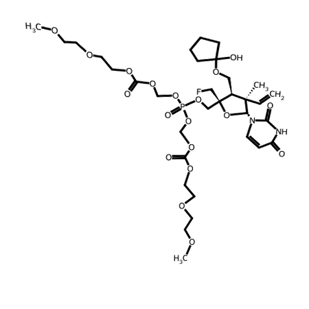 C=C[C@]1(C)[C@H](COC2(O)CCCC2)[C@@](CF)(COP(=O)(OCOC(=O)OCCOCCOC)OCOC(=O)OCCOCCOC)O[C@H]1n1ccc(=O)[nH]c1=O